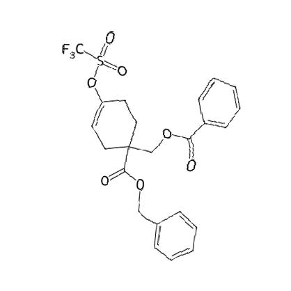 O=C(OCC1(C(=O)OCc2ccccc2)CC=C(OS(=O)(=O)C(F)(F)F)CC1)c1ccccc1